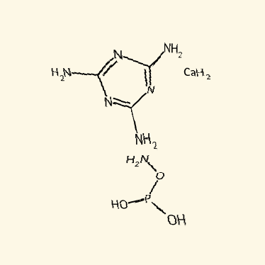 NOP(O)O.Nc1nc(N)nc(N)n1.[CaH2]